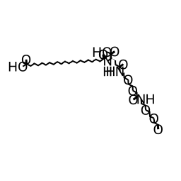 O=[C]COCCOCCNC(=O)COCCOCCNC(=O)CC[C@H](NC(=O)CCCCCCCCCCCCCCCCCCCC(=O)O)C(=O)O